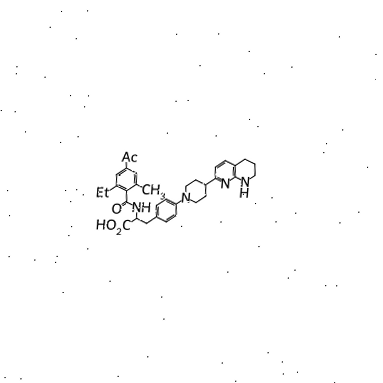 CCc1cc(C(C)=O)cc(C)c1C(=O)NC(Cc1ccc(N2CCC(c3ccc4c(n3)NCCC4)CC2)cc1)C(=O)O